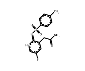 Cc1ccc(S(=O)(=O)N=c2[nH]cc(F)cc2CC(N)=O)cc1